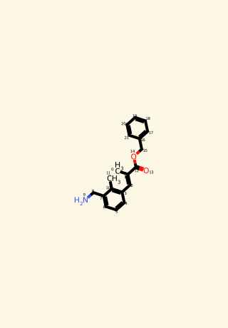 CC(=Cc1cccc(CN)c1C)C(=O)OCc1ccccc1